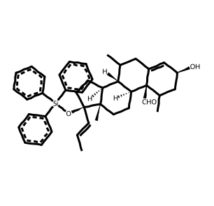 CC=C[C@]1(O[Si](c2ccccc2)(c2ccccc2)c2ccccc2)CC[C@H]2[C@@H]3C(C)CC4=C[C@@H](O)CC(C)[C@]4(C=O)[C@H]3CC[C@@]21C